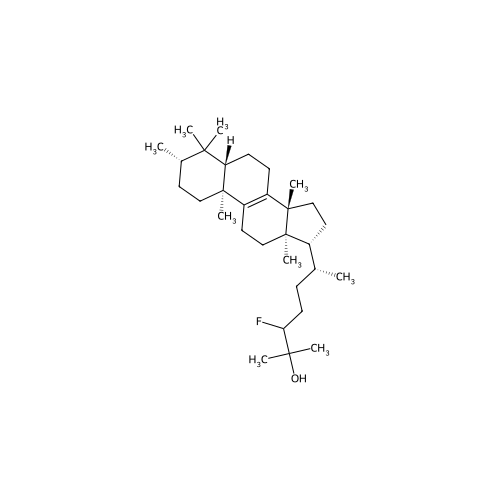 C[C@H](CCC(F)C(C)(C)O)[C@H]1CC[C@@]2(C)C3=C(CC[C@]12C)[C@@]1(C)CC[C@H](C)C(C)(C)[C@@H]1CC3